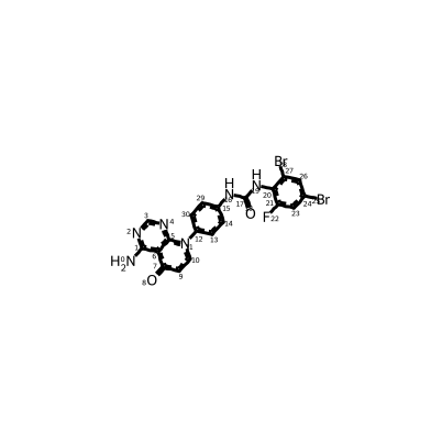 Nc1ncnc2c1c(=O)ccn2-c1ccc(NC(=O)Nc2c(F)cc(Br)cc2Br)cc1